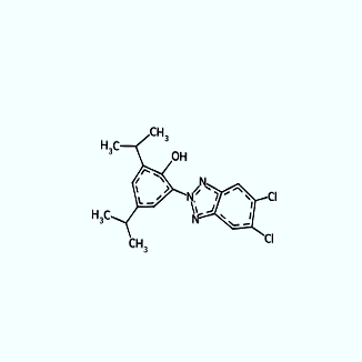 CC(C)c1cc(C(C)C)c(O)c(-n2nc3cc(Cl)c(Cl)cc3n2)c1